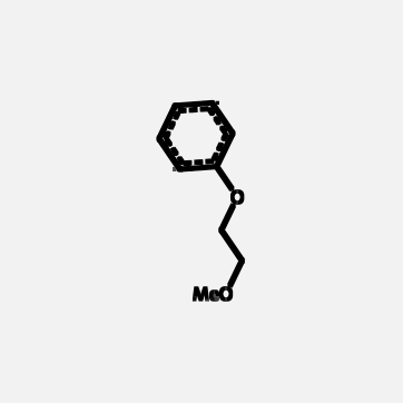 COCCOc1[c]cc[c]c1